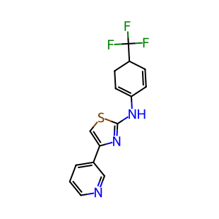 FC(F)(F)C1C=CC(Nc2nc(-c3cccnc3)cs2)=CC1